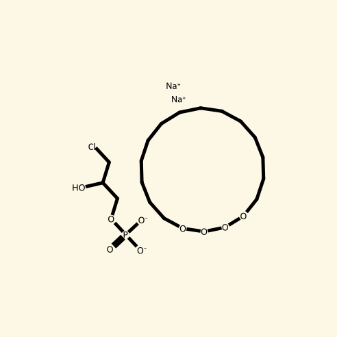 C1CCCCCCCOOOOCCCCCC1.O=P([O-])([O-])OCC(O)CCl.[Na+].[Na+]